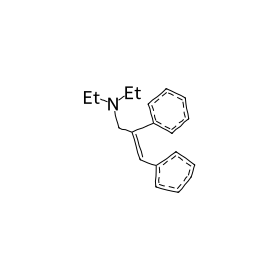 CCN(CC)C/C(=C/c1ccccc1)c1ccccc1